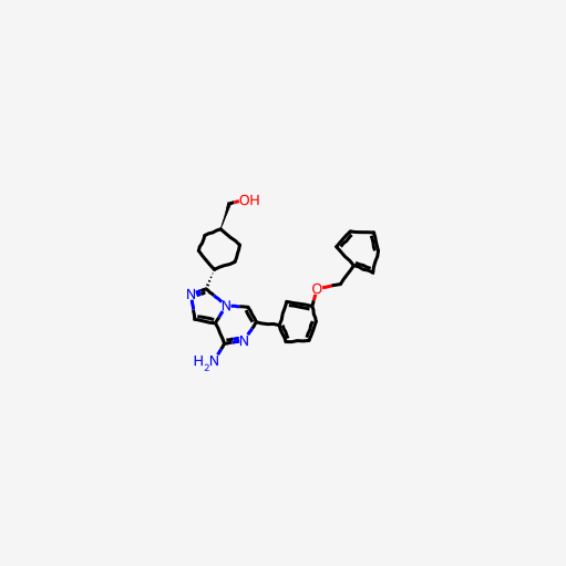 Nc1nc(-c2cccc(OCc3ccccc3)c2)cn2c1cnc2[C@H]1CC[C@H](CO)CC1